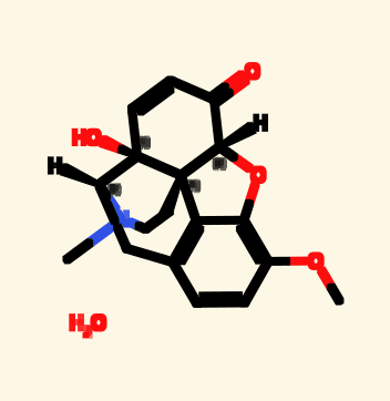 COc1ccc2c3c1O[C@H]1C(=O)C=C[C@@]4(O)[C@@H](C2)N(C)CC[C@]314.O